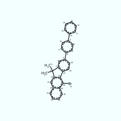 CC1(C)c2cc(-c3ccc(-c4ccccc4)cc3)ccc2-c2c1cc1ccccc1c2Br